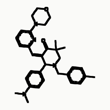 Cc1ccc(CN2CC(C)(C)C(=O)C(=Cc3cccc(N4CCOCC4)n3)C2c2ccc(N(C)C)cc2)cc1